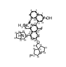 C#Cc1cccc2cc(O)cc(-c3nc(CC)c4c(N5CC6CCC(C5)N6)nc(OC[C@@]56CCCN5C[C@H](F)C6)nc4c3F)c12